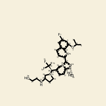 CC(C)Oc1cc(F)cc2ccc(-c3nnc4ccc([C@@H](N5CCC(NCCO)C5)C(F)(F)F)cn34)nc12.Cl.Cl